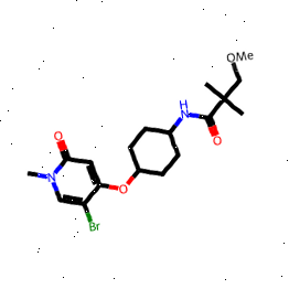 COCC(C)(C)C(=O)NC1CCC(Oc2cc(=O)n(C)cc2Br)CC1